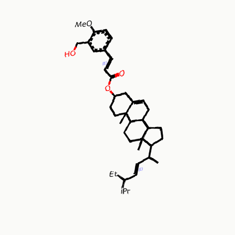 CCC(/C=C/C(C)C1CCC2C3CC=C4CC(OC(=O)/C=C/c5ccc(OC)c(CO)c5)CCC4(C)C3CCC12C)C(C)C